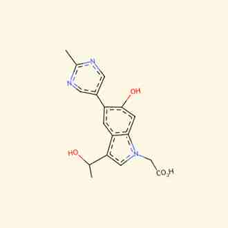 Cc1ncc(-c2cc3c(C(C)O)cn(CC(=O)O)c3cc2O)cn1